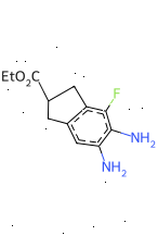 CCOC(=O)C1Cc2cc(N)c(N)c(F)c2C1